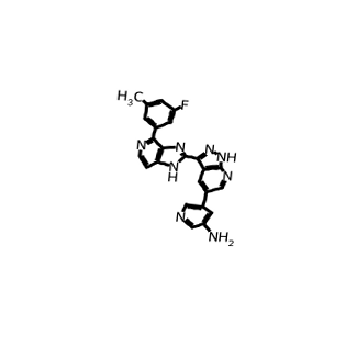 Cc1cc(F)cc(-c2nccc3[nH]c(-c4n[nH]c5ncc(-c6cncc(N)c6)cc45)nc23)c1